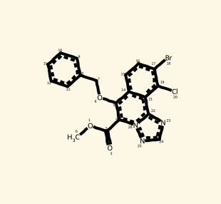 COC(=O)c1c(OCc2ccccc2)c2ccc(Br)c(Cl)c2c2ncnn12